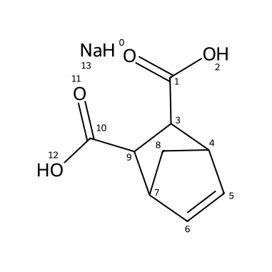 O=C(O)C1C2C=CC(C2)C1C(=O)O.[NaH]